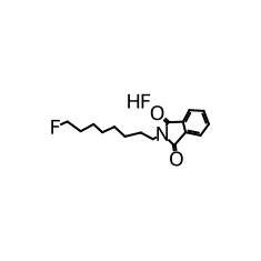 F.O=C1c2ccccc2C(=O)N1CCCCCCCCF